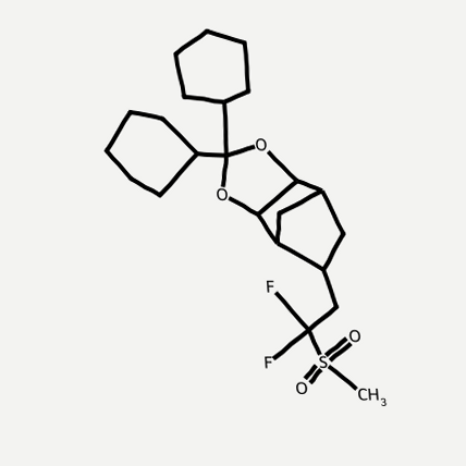 CS(=O)(=O)C(F)(F)CC1CC2CC1C1OC(C3CCCCC3)(C3CCCCC3)OC21